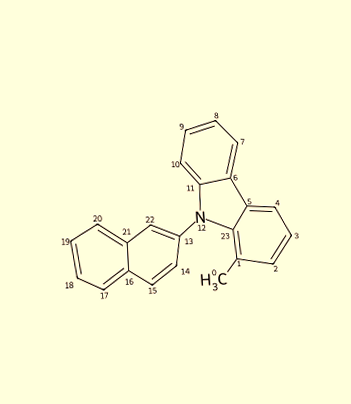 Cc1cccc2c3ccccc3n(-c3ccc4ccccc4c3)c12